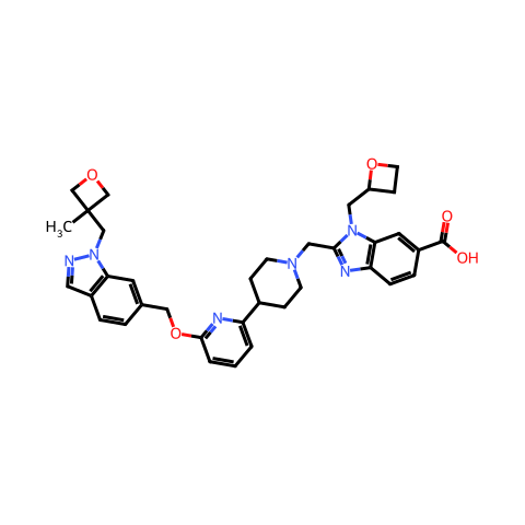 CC1(Cn2ncc3ccc(COc4cccc(C5CCN(Cc6nc7ccc(C(=O)O)cc7n6CC6CCO6)CC5)n4)cc32)COC1